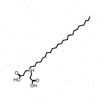 CCCCCCCCCCCCCCCCCCCCCCC[SH](CCC(=O)O)CCC(=O)O